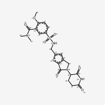 COc1ccc(S(=O)(=O)NCc2cc3c(s2)C(=O)N(C2CCC(=O)NC2=O)C3)cc1C(=O)N(C)C